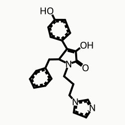 O=C1C(O)=C(c2ccc(O)cc2)C(Cc2ccccc2)N1CCCn1ccnc1